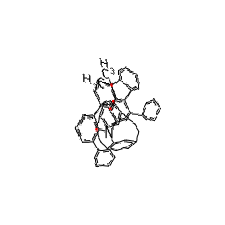 CC1(C)c2ccccc2-c2c(-c3ccccc3)cc(N(c3cc4ccc3CCc3ccc(cc3)CC4)c3c(-c4ccccc4)cccc3-c3ccccc3)cc21